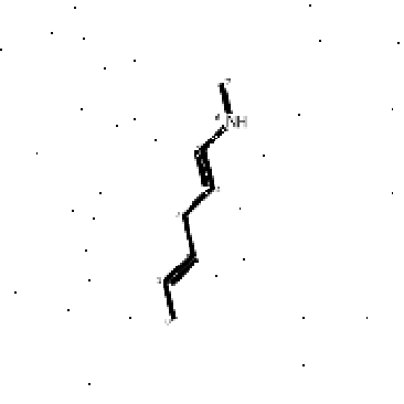 CC=CCC=CNC